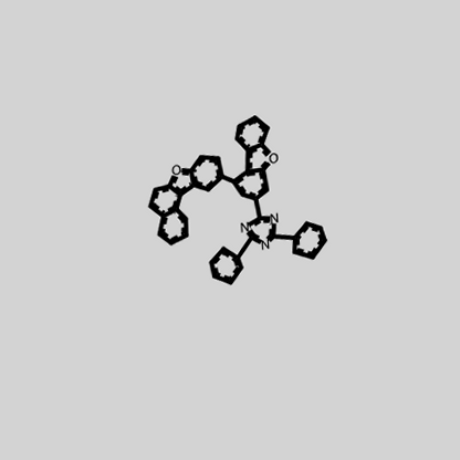 c1ccc(-c2nc(-c3ccccc3)nc(-c3cc(-c4ccc5oc6ccc7ccccc7c6c5c4)c4c(c3)oc3ccccc34)n2)cc1